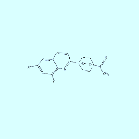 CC(=O)C12CCC(c3ccc4cc(Br)cc(F)c4n3)(CC1)CC2